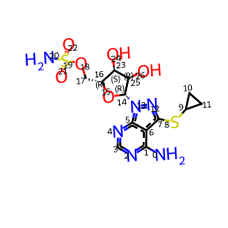 Nc1ncnc2c1c(SC1CC1)nn2[C@@H]1O[C@H](COS(N)(=O)=O)[C@@H](O)[C@H]1O